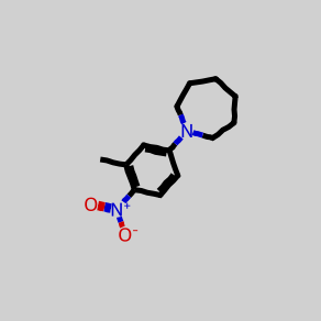 Cc1cc(N2CCCCCC2)ccc1[N+](=O)[O-]